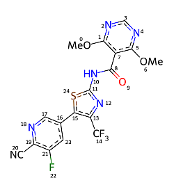 COc1ncnc(OC)c1C(=O)Nc1nc(C(F)(F)F)c(-c2cnc(C#N)c(F)c2)s1